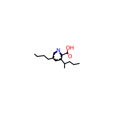 CCCCc1cnc(C(=O)O)c(C(C)CCC)c1